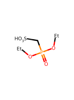 CCOP(=O)(CS(=O)(=O)O)OCC